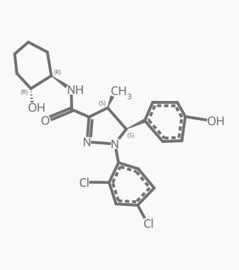 C[C@@H]1C(C(=O)N[C@@H]2CCCC[C@H]2O)=NN(c2ccc(Cl)cc2Cl)[C@@H]1c1ccc(O)cc1